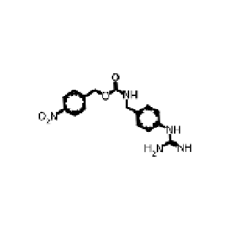 N=C(N)Nc1ccc(CNC(=O)OCc2ccc([N+](=O)[O-])cc2)cc1